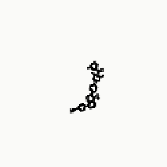 COc1c(-c2ccc(N3CC(C)N(C(=O)c4cncc(C)c4)C(C)C3)cc2)cnc2c(-c3ccc(C#N)cc3)cccc12